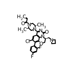 C=CC(=O)N1C[C@H](C)N(c2nc(=O)n3c4c(c(-c5ccc(F)cc5F)c(Cl)cc24)OC[C@@H]3CN2CCC2)C[C@H]1C